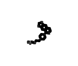 O=[N+]([O-])OCCN1CCN(c2nccc3cc4c(cc23)OCO4)CC1